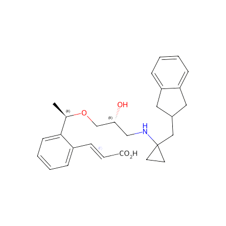 C[C@@H](OC[C@H](O)CNC1(CC2Cc3ccccc3C2)CC1)c1ccccc1/C=C/C(=O)O